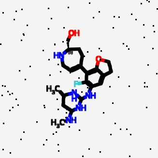 CNC1CC(C)NC(Nc2cc3c(c(C4=CCN[C@H](CO)CC4)c2F)OCC3)N1